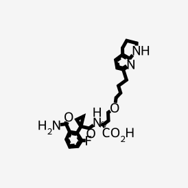 NC(=O)c1cccc(F)c1C1(C(=O)N[C@@H](CCOCCCCc2ccc3c(n2)NCCC3)C(=O)O)CC1